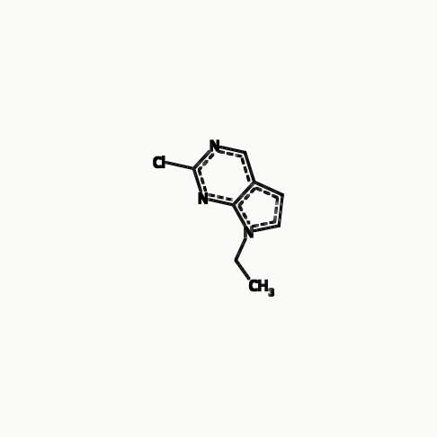 CCn1ccc2cnc(Cl)nc21